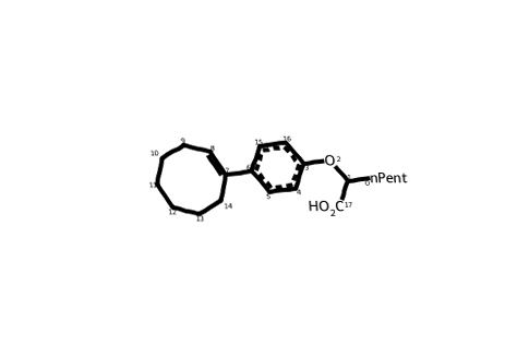 CCCCCC(Oc1ccc(C2=CCCCCCC2)cc1)C(=O)O